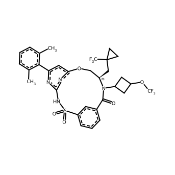 Cc1cccc(C)c1-c1cc2nc(n1)NS(=O)(=O)c1cccc(c1)C(=O)N(C1CC(OC(F)(F)F)C1)[C@H](CC1(C(F)(F)F)CC1)CO2